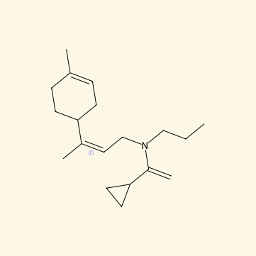 C=C(C1CC1)N(C/C=C(/C)C1CC=C(C)CC1)CCC